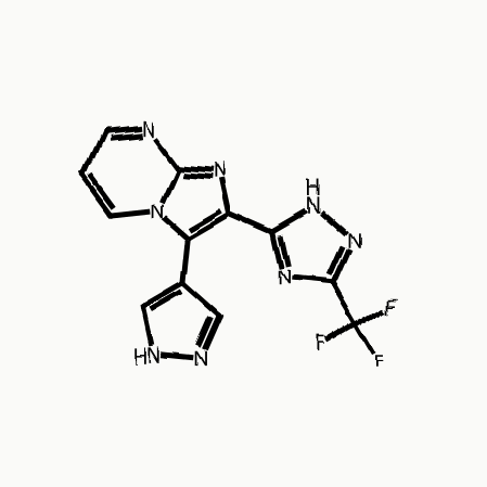 FC(F)(F)c1n[nH]c(-c2nc3ncccn3c2-c2cn[nH]c2)n1